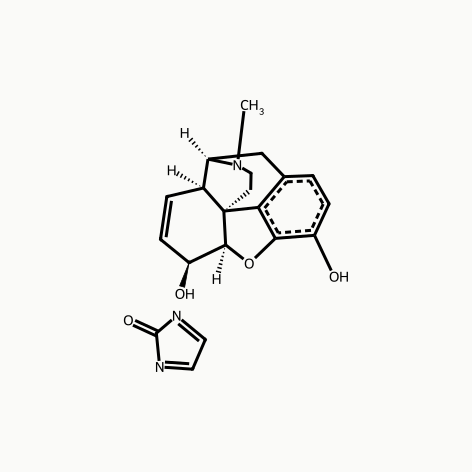 CN1CC[C@]23c4c5ccc(O)c4O[C@H]2[C@@H](O)C=C[C@H]3[C@H]1C5.O=C1N=CC=N1